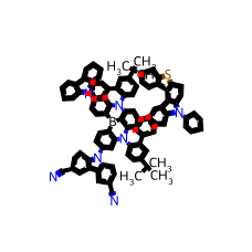 CC(C)(C)c1ccc(N2c3cc(-n4c5ccccc5c5ccccc54)ccc3B3c4ccc(-n5c6ccc(C#N)cc6c6cc(C#N)ccc65)cc4N(c4ccc(C(C)(C)C)cc4-c4ccccc4)c4cc(-c5ccc6c(c5)c5c7c(ccc5n6-c5ccccc5)sc5ccccc57)cc2c43)c(-c2ccccc2)c1